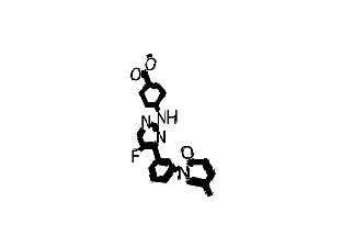 COC(=O)C1CCC(Nc2ncc(F)c(-c3cccc(-n4cc(C)ccc4=O)c3)n2)CC1